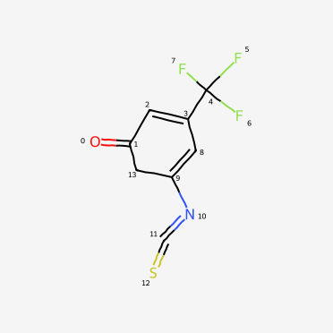 O=C1C=C(C(F)(F)F)C=C(N=C=S)C1